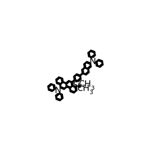 C[Si]1(C)c2cc(-c3ccc4cc(N(c5ccccc5)c5ccccc5)ccc4c3)ccc2-c2cc3c4ccccc4c(N(c4ccccc4)c4ccccc4)cc3c3cccc1c23